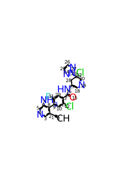 C#Cc1cncc(N)c1-c1cc(Cl)c(C(=O)NC2=CN=CC(Cl)(n3nccn3)C2)cc1F